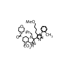 COCCCCc1c(C(=O)N(CC(C)C)[C@H]2C[C@@H](C(=O)N3CCOCC3)CN(C(=O)O)C2C(C)(C)C)nnn1-c1ccccc1C